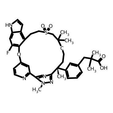 Cn1nc2nc1-c1cc(ccn1)Oc1c(F)cc3[nH]ccc3c1CCS(=O)(=O)CC(C)(C)CCC[C@]2(C)c1cccc(CC(C)(C)C(=O)O)c1